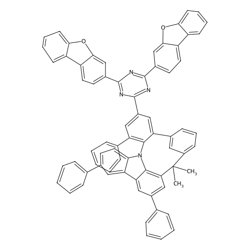 CC1(C)c2cccc(c2)-c2cc(-c3nc(-c4ccc5c(c4)oc4ccccc45)nc(-c4ccc5c(c4)oc4ccccc45)n3)cc(-c3ccccc3)c2-n2c3ccc(-c4ccccc4)cc3c3cc(-c4ccccc4)cc1c32